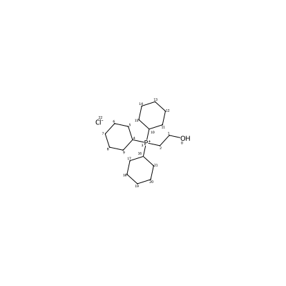 OCC[P+](C1CCCCC1)(C1CCCCC1)C1CCCCC1.[Cl-]